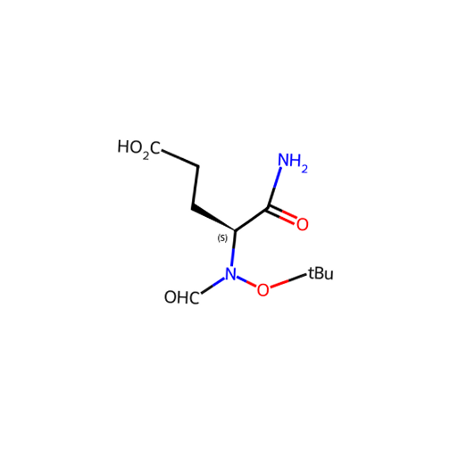 CC(C)(C)ON(C=O)[C@@H](CCC(=O)O)C(N)=O